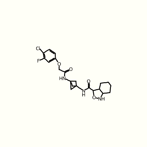 O=C(COc1ccc(Cl)c(F)c1)NC12CC(NC(=O)C3ONC4CCCCC43)(C1)C2